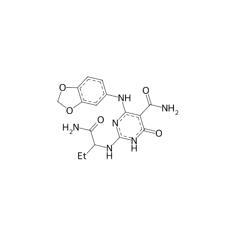 CCC(Nc1nc(Nc2ccc3c(c2)OCO3)c(C(N)=O)c(=O)[nH]1)C(N)=O